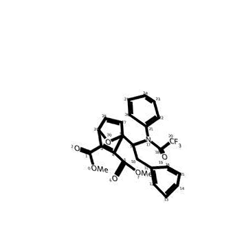 COC(=O)C1=C(C(=O)OC)C2(C(Cc3ccccc3)N(C(=O)C(F)(F)F)c3ccccc3)C=CC1O2